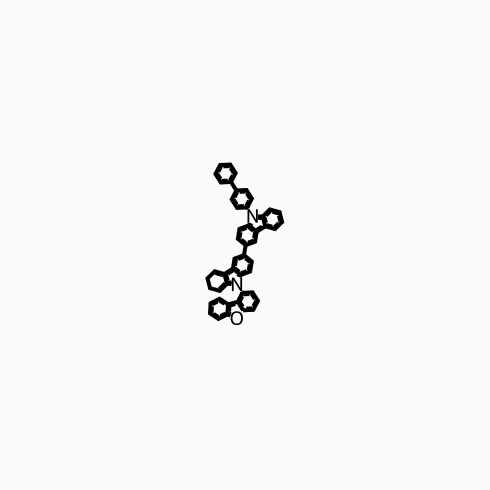 C1=c2c(n(-c3cccc4oc5ccccc5c34)c3ccc(-c4ccc5c(c4)c4ccccc4n5-c4ccc(-c5ccccc5)cc4)cc23)=CCC1